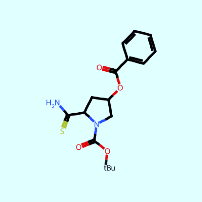 CC(C)(C)OC(=O)N1CC(OC(=O)c2ccccc2)CC1C(N)=S